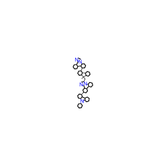 CC1(Cc2cnc3c4cc(-c5cccc6c5c5ccccc5n6-c5ccccc5)ccc4c4ccccc4n23)c2ccccc2-c2c(-c3cccc4c3c3ccccc3c3nccn43)cccc21